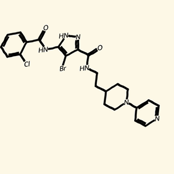 O=C(Nc1[nH]nc(C(=O)NCCC2CCN(c3ccncc3)CC2)c1Br)c1ccccc1Cl